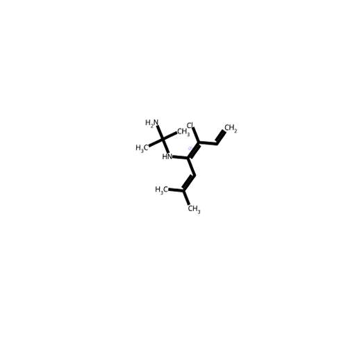 C=C/C(Cl)=C(\C=C(C)C)NC(C)(C)N